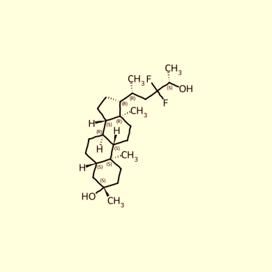 C[C@H](CC(F)(F)[C@H](C)O)[C@H]1CC[C@H]2[C@@H]3CC[C@H]4C[C@@](C)(O)CC[C@]4(C)[C@H]3CC[C@]12C